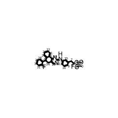 CS(=O)(=O)O[C@H](F)Cc1cccc(Nc2ncc3c(n2)-c2ccccc2C(c2ccccc2F)C3)c1